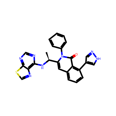 C[C@H](Nc1ncnc2scnc12)c1cc2cccc(-c3cn[nH]c3)c2c(=O)n1-c1ccccc1